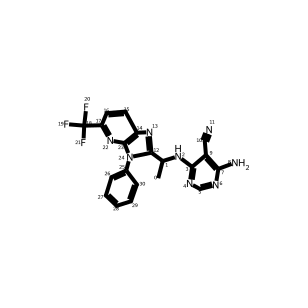 CC(Nc1ncnc(N)c1C#N)c1nc2ccc(C(F)(F)F)nc2n1-c1ccccc1